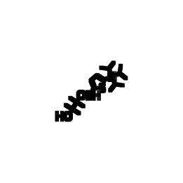 CC(C)[Si](c1ccc(BOC(C)(C)C(C)(C)O)s1)(C(C)C)C(C)C